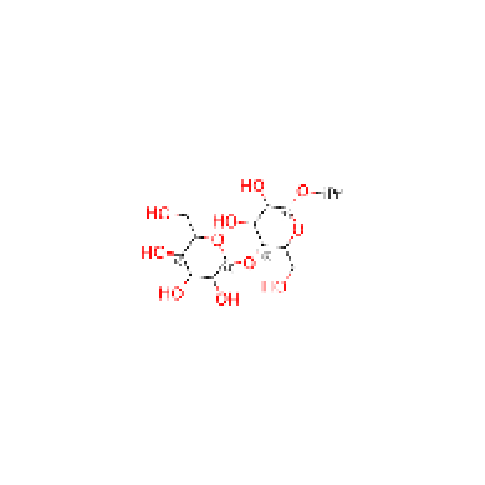 CC(C)O[C@@H]1OC(CO)[C@H](O[C@@H]2OC(CO)[C@H](O)C(O)C2O)C(O)C1O